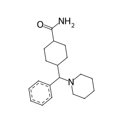 NC(=O)C1CCC(C(c2ccccc2)N2CCCCC2)CC1